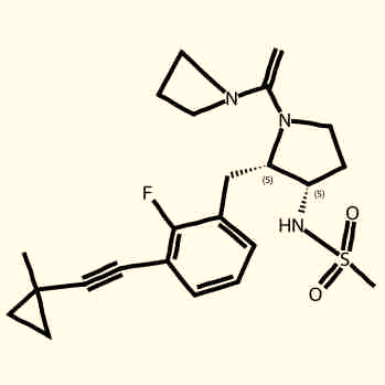 C=C(N1CCC1)N1CC[C@H](NS(C)(=O)=O)[C@@H]1Cc1cccc(C#CC2(C)CC2)c1F